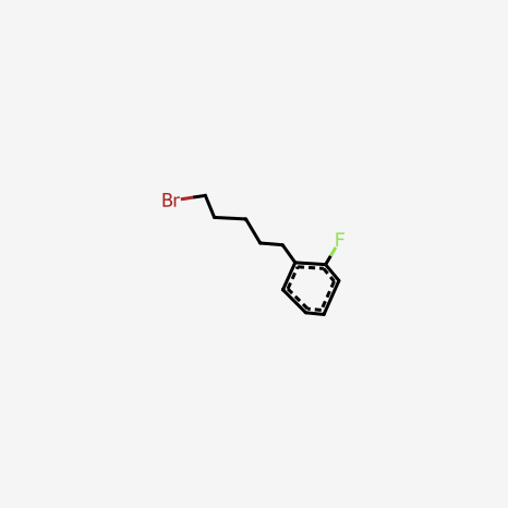 Fc1ccccc1CCCCCBr